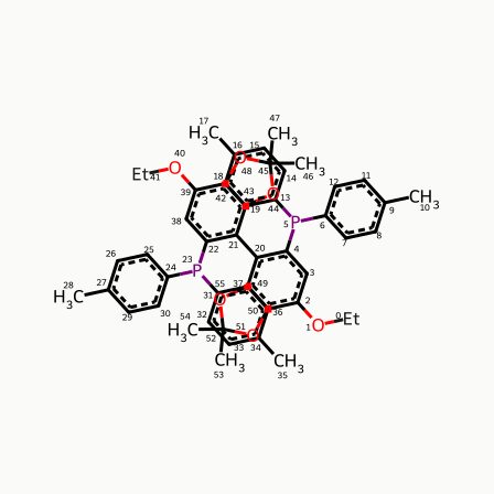 CCOc1cc(P(c2ccc(C)cc2)c2ccc(C)cc2)c(-c2c(P(c3ccc(C)cc3)c3ccc(C)cc3)cc(OCC)c3c2OC(C)(C)O3)c2c1OC(C)(C)O2